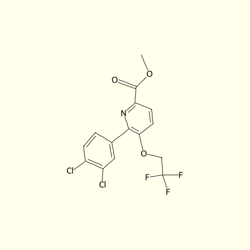 COC(=O)c1ccc(OCC(F)(F)F)c(-c2ccc(Cl)c(Cl)c2)n1